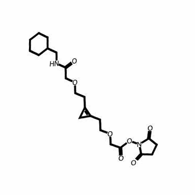 O=C(COCCC1=C(CCOCC(=O)ON2C(=O)CCC2=O)C1)NCC1CCCCC1